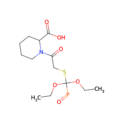 CCOC(OCC)(P=O)SCC(=O)N1CCCCC1C(=O)O